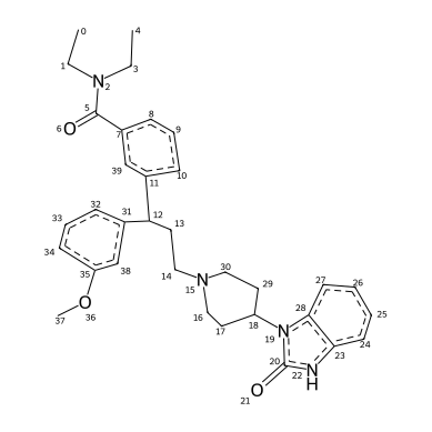 CCN(CC)C(=O)c1cccc(C(CCN2CCC(n3c(=O)[nH]c4ccccc43)CC2)c2cccc(OC)c2)c1